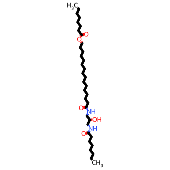 CCCCCCCC(=O)NCC(O)CNC(=O)CCCCCCCCCCCCCCCOC(=O)CCCCCCC